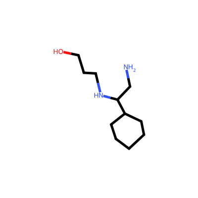 NCC(NCCCO)C1CCCCC1